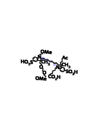 COCCOCCOCCC1(C)\C(=C/C=C/C=C/C=C/C2=[N+](CCCCCC(=O)O)c3ccc(S(=O)(=O)O)cc3C2(C)CCCC(C)=O)N(CCOC)c2ccc(S(=O)(=O)O)cc21